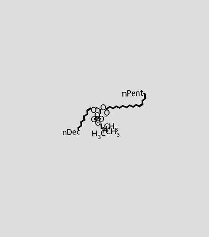 CCCCC/C=C\C/C=C\CCCCCCCCCC(=O)O[C@H](CO/C=C\CCCCCCCCCCCCCCCC)COP(=O)([O-])OCC[N+](C)(C)C